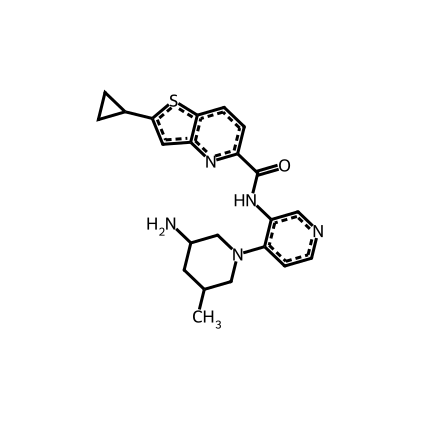 CC1CC(N)CN(c2ccncc2NC(=O)c2ccc3sc(C4CC4)cc3n2)C1